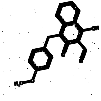 COc1ccc(Cc2c(=O)c(C=O)c(O)n3ccccc23)cc1